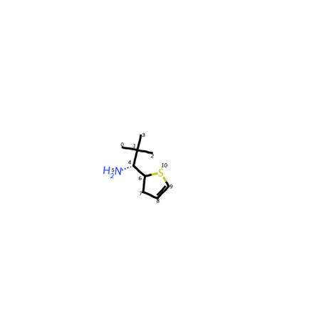 CC(C)(C)[C@@H](N)C1CC=CS1